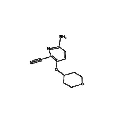 N#Cc1nc(N)ccc1OC1CCOCC1